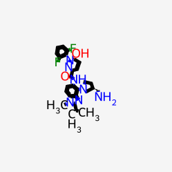 CC(C)c1nc2c(N3CC[C@H](CN)C3)c(NC(=O)C3=NN(c4c(F)cccc4F)C(O)C=C3)ccc2n1C